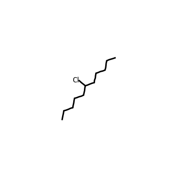 CCCCCC(Cl)CCCCC